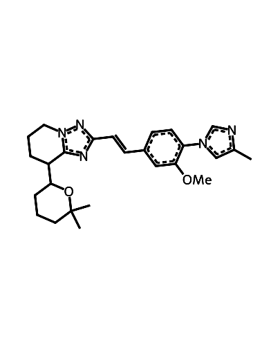 COc1cc(/C=C/c2nc3n(n2)CCCC3C2CCCC(C)(C)O2)ccc1-n1cnc(C)c1